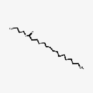 C[CH]CCOC(=O)CCCCCCCCCCCCCCC